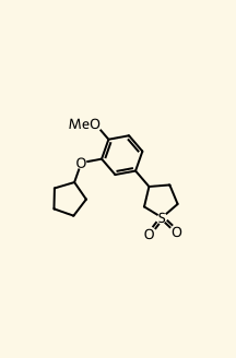 COc1ccc(C2CCS(=O)(=O)C2)cc1OC1CCCC1